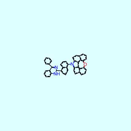 c1ccc(C2=NC(c3cccc4c(-n5c6ccc7cccc8oc9cccc%10ccc5c(c%109)c6c78)cccc34)Nc3ccccc32)cc1